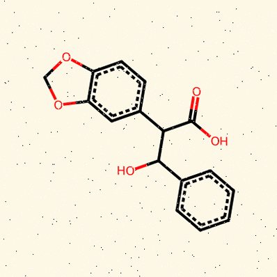 O=C(O)C(c1ccc2c(c1)OCO2)C(O)c1ccccc1